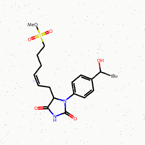 COS(=O)(=O)CCC/C=C\CC1C(=O)NC(=O)N1c1ccc(C(O)C(C)(C)C)cc1